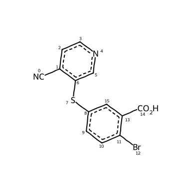 N#Cc1ccncc1Sc1ccc(Br)c(C(=O)O)c1